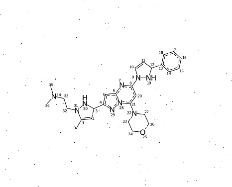 CC1=CC(c2cc3nc(N4C=CC(c5ccccc5)N4)cc(N4CCOCC4)n3n2)NN1CCN(C)C